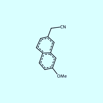 COc1ccc2ccc(CC#N)cc2c1